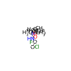 CC(C)N(CC(=O)Nc1cccc(-c2ccccc2Cl)c1F)O[Si](C)(C)C(C)(C)C